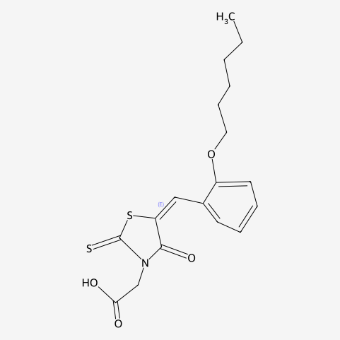 CCCCCCOc1ccccc1/C=C1/SC(=S)N(CC(=O)O)C1=O